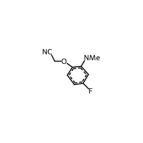 CNc1cc(F)ccc1OCC#N